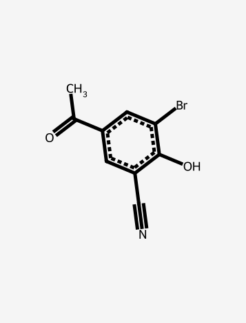 CC(=O)c1cc(Br)c(O)c(C#N)c1